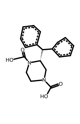 O=C(O)N1CCN(C(=O)O)[C@H](C(c2ccccc2)c2ccccc2)C1